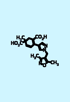 Cc1noc(C)c1Cn1cc(C2=C(C(=O)O)CC(C)(C(=O)O)C=C2)cn1